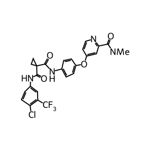 CNC(=O)c1cc(Oc2ccc(NC(=O)C3(C(=O)Nc4ccc(Cl)c(C(F)(F)F)c4)CC3)cc2)ccn1